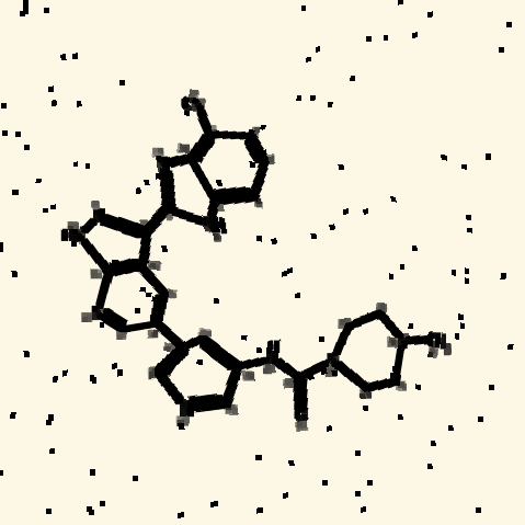 [C-]#[N+]c1cccc2[nH]c(-c3n[nH]c4ncc(-c5cncc(NC(=O)N6CCN(C)CC6)c5)cc34)nc12